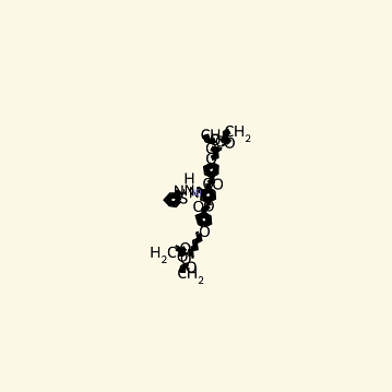 C=CC(=O)OCC(CCCCOc1ccc(C(=O)Oc2ccc(OC(=O)c3ccc(OCC(COC(=O)C=C)OC(=O)C=C)cc3)c(/C=N/Nc3nc4ccccc4s3)c2)cc1)OC(=O)C=C